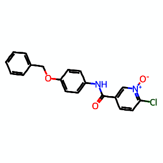 O=C(Nc1ccc(OCc2ccccc2)cc1)c1ccc(Cl)[n+]([O-])c1